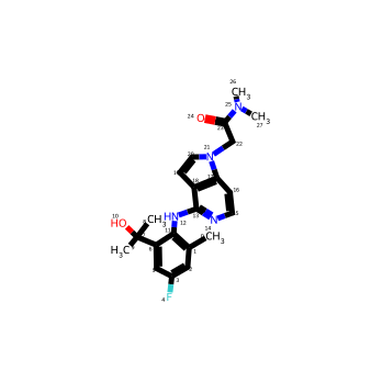 Cc1cc(F)cc(C(C)(C)O)c1Nc1nccc2c1ccn2CC(=O)N(C)C